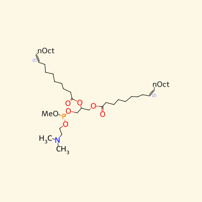 CCCCCCCC/C=C\CCCCCCCC(=O)OCC(COP(OC)OCCN(C)C)OC(=O)CCCCCCC/C=C\CCCCCCCC